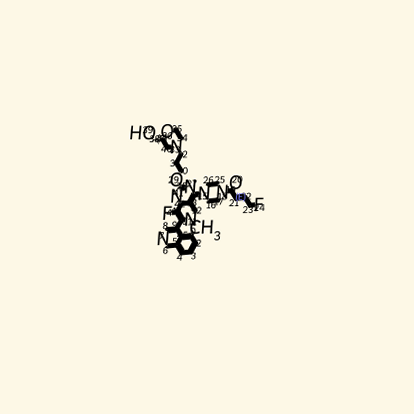 Cc1cccc2cncc(-c3ncc4c(N5CCN(C(=O)/C=C/CF)CC5)nc(OCCCN5CCO[C@@H](CO)C5)nc4c3F)c12